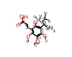 COc1c(C=CC(=O)O)c(O[Si](C)(C)C)c(C([SiH3])CC(C)C)c(OC)c1OC